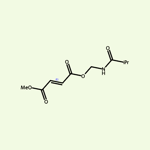 COC(=O)/C=C/C(=O)OCNC(=O)C(C)C